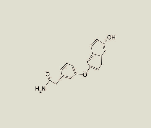 NC(=O)Cc1cccc(Oc2ccc3cc(O)ccc3c2)c1